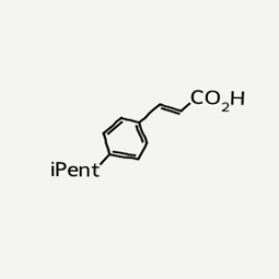 CCCC(C)c1ccc(C=CC(=O)O)cc1